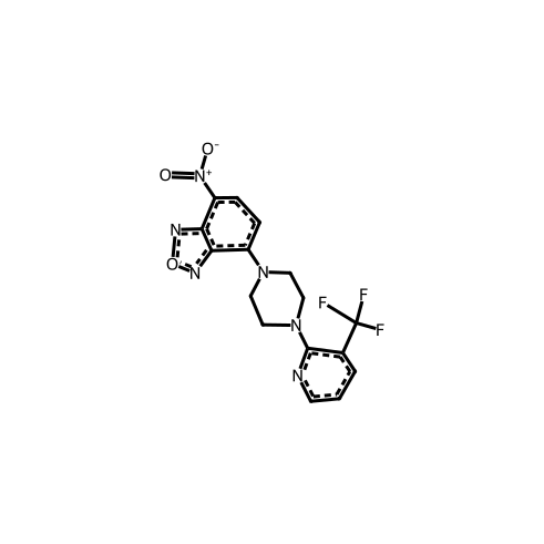 O=[N+]([O-])c1ccc(N2CCN(c3ncccc3C(F)(F)F)CC2)c2nonc12